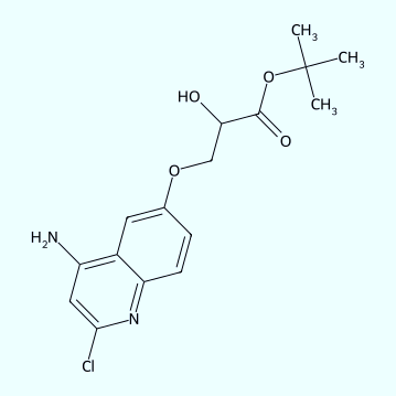 CC(C)(C)OC(=O)C(O)COc1ccc2nc(Cl)cc(N)c2c1